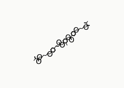 C=C(C)C(=C)OCCCCOc1ccc(C(=O)Oc2ccc(OC(=O)/C=C/c3ccc(OCCCCOC(=O)C(=C)C)cc3)c(C)c2)cc1